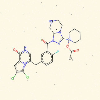 O=C(c1cc(Cc2c[nH]c(=O)c3cc(Cl)c(Cl)n23)ccc1F)N1N=C([N+]2(OC(=O)C(F)(F)F)CCCCC2)N2CCNCC21